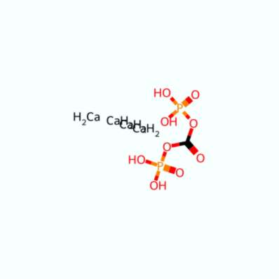 O=C(OP(=O)(O)O)OP(=O)(O)O.[CaH2].[CaH2].[CaH2].[CaH2]